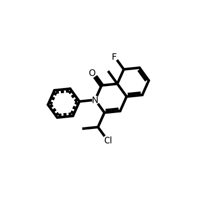 CC(Cl)C1=CC2=CC=CC(F)C2(C)C(=O)N1c1ccccc1